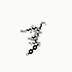 COCCCNC(=O)C(=O)[C@H](C)NC(=O)[C@H](CCCCN)NC(=O)[C@H](C)NC(=O)[C@@H](NC(=O)[C@H](CN)NC(=O)c1ccc(-c2ccc(Cl)cc2)cc1)[C@@H](C)O